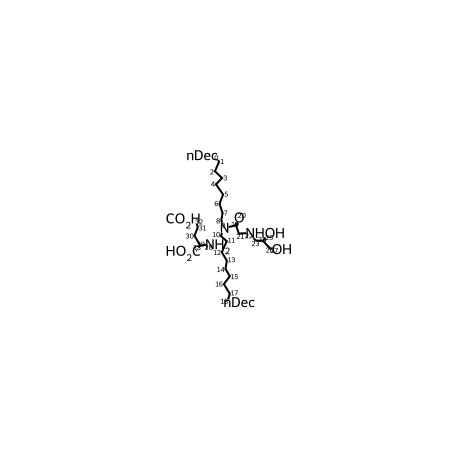 CCCCCCCCCCCCCCCCCCN(CCCCCCCCCCCCCCCCCC)C(=O)CNCC(O)CO.N[C@@H](CCC(=O)O)C(=O)O